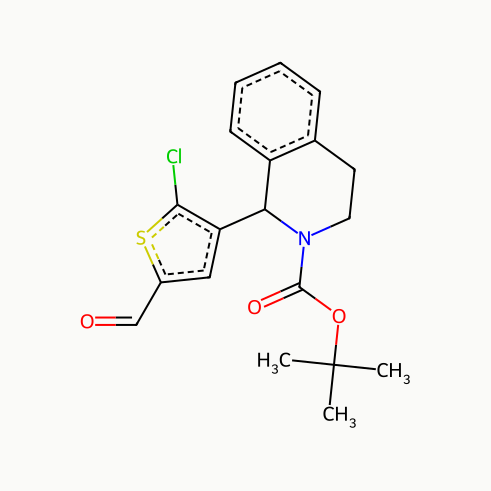 CC(C)(C)OC(=O)N1CCc2ccccc2C1c1cc(C=O)sc1Cl